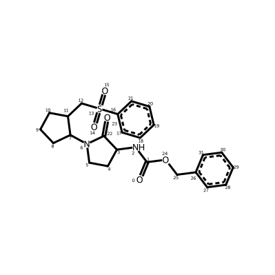 O=C(NC1CCN(C2CCCC2CS(=O)(=O)c2ccccc2)C1=O)OCc1ccccc1